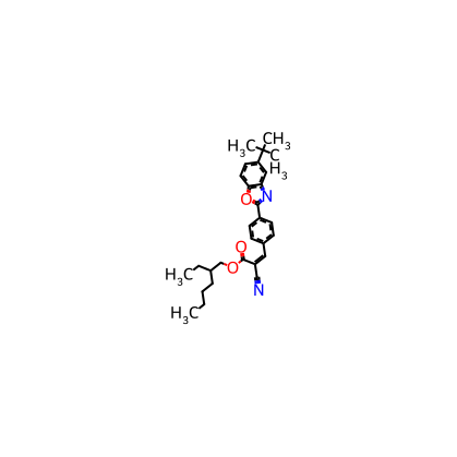 CCCCC(CC)COC(=O)C(C#N)=Cc1ccc(-c2nc3cc(C(C)(C)C)ccc3o2)cc1